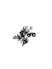 CC(C)(C)OC(=O)CC(NC(=O)C1(C(=O)NC(CCC(=O)O)C(=O)Nc2cccc(Oc3ccccc3)c2)CCC1)C(=O)COc1c(F)c(F)cc(F)c1F